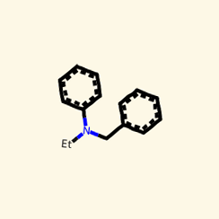 CCN(Cc1ccccc1)c1cc[c]cc1